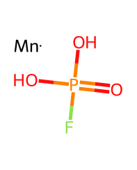 O=P(O)(O)F.[Mn]